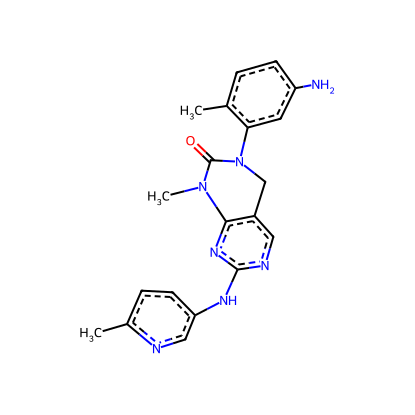 Cc1ccc(Nc2ncc3c(n2)N(C)C(=O)N(c2cc(N)ccc2C)C3)cn1